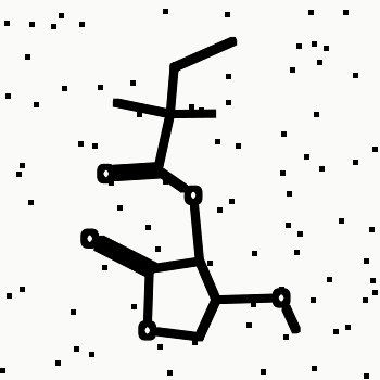 CCC(C)(C)C(=O)OC1C(=O)OCC1OC